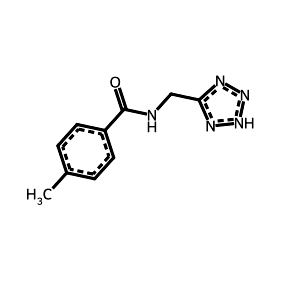 Cc1ccc(C(=O)NCc2nn[nH]n2)cc1